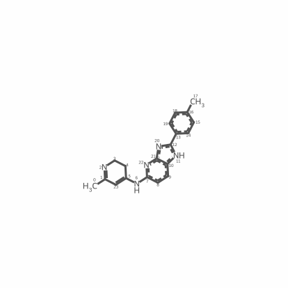 CC1=NCCC(Nc2ccc3[nH]c(-c4ccc(C)cc4)nc3n2)=C1